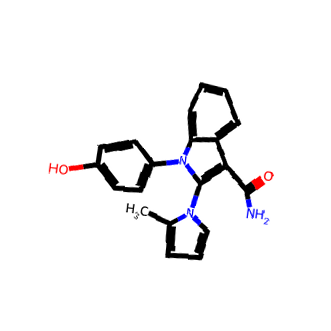 Cc1cccn1-c1c(C(N)=O)c2ccccc2n1-c1ccc(O)cc1